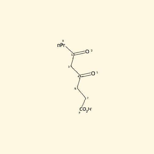 CCCC(=O)CC(=O)CCC(=O)O